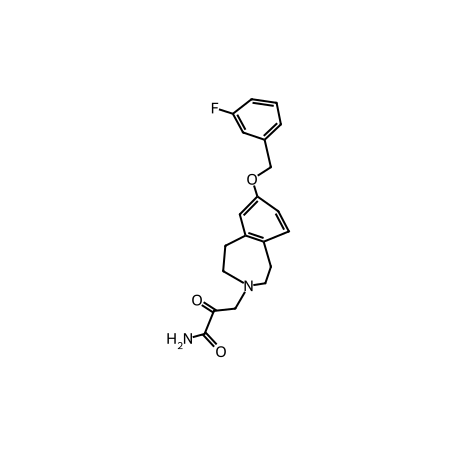 NC(=O)C(=O)CN1CCc2ccc(OCc3cccc(F)c3)cc2CC1